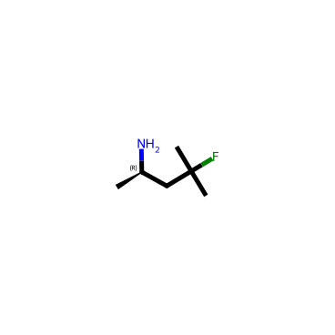 C[C@@H](N)CC(C)(C)F